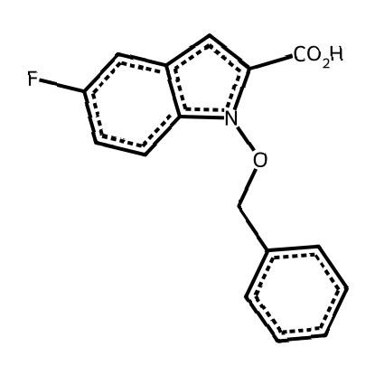 O=C(O)c1cc2cc(F)ccc2n1OCc1ccccc1